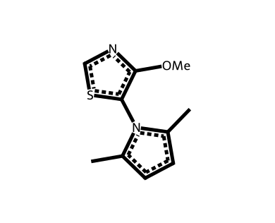 COc1ncsc1-n1c(C)ccc1C